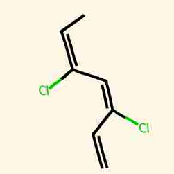 C=C/C(Cl)=C\C(Cl)=C/C